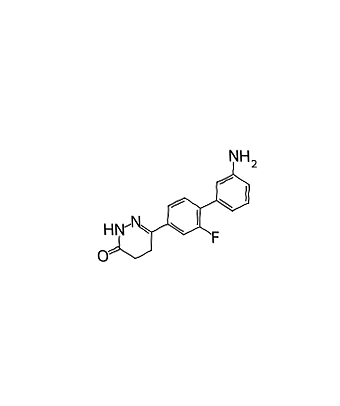 Nc1cccc(-c2ccc(C3=NNC(=O)CC3)cc2F)c1